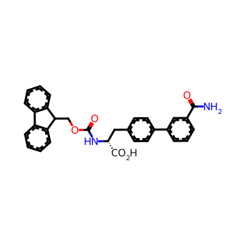 NC(=O)c1cccc(-c2ccc(C[C@@H](NC(=O)OCC3c4ccccc4-c4ccccc43)C(=O)O)cc2)c1